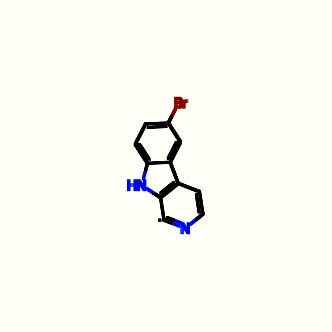 Brc1ccc2[nH]c3[c]nccc3c2c1